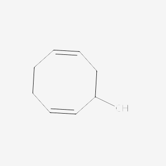 CC1C=CCCC=CC1